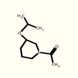 CC(=O)N1CCCC(OC(C)C)C1